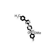 COc1cc(F)ccc1S(=O)(=O)N1CCN(c2nc(-c3ccc(C)cc3)cs2)CC1